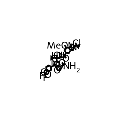 COc1cc(C(=O)NCC(O)(c2cc3c(c(-c4ccc5c(c4)OC(F)(F)O5)n2)OC[C@]3(C)C(N)=O)C2CC2)cc2cn(C3(Cl)CC3)nc12